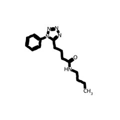 CCCCNC(=O)CCCc1nnnn1-c1ccccc1